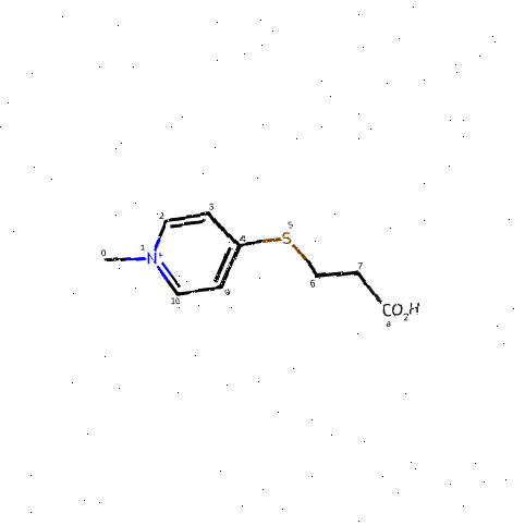 C[n+]1ccc(SCCC(=O)O)cc1